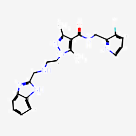 Cc1nn(CCNCc2nc3ccccc3[nH]2)c(C)c1C(=O)NCc1ncccc1F